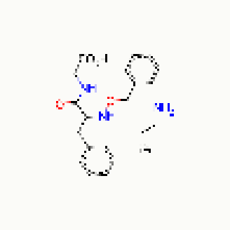 CC(C)CCN.O=C(O)CNC(=O)C(Cc1ccccc1)NOCc1ccccc1